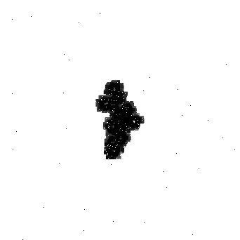 c1ccc(-c2ccccc2N(c2ccc3c(ccc4c5ccccc5ccc34)c2)c2ccc(-n3c4ccccc4c4c5ccccc5ccc43)cc2-c2ccccc2)cc1